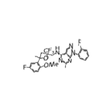 COc1ccc(F)cc1C1(C)CC(CNc2nc(C)nc3c2cnn3-c2ccccc2F)(C(F)(F)F)O1